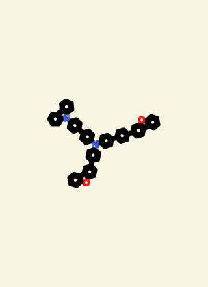 c1ccc2c(c1)oc1cc(-c3ccc(-c4ccc(N(c5ccc(-c6ccc(-n7c8ccccc8c8ccccc87)cc6)cc5)c5ccc(-c6ccc7oc8ccccc8c7c6)cc5)cc4)cc3)ccc12